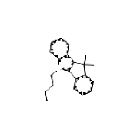 CCCCn1c2c(c3ccccc31)C(C)(C)c1ccccc1-2